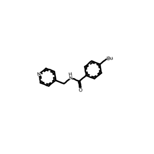 CCC(C)c1ccc(C(=O)NCc2ccncc2)cc1